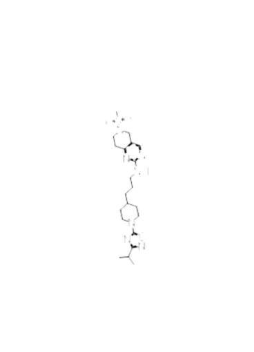 CC(C)c1noc(N2CCC(CCCNc3ncc4c(n3)CCN(S(C)(=O)=O)C4)CC2)n1